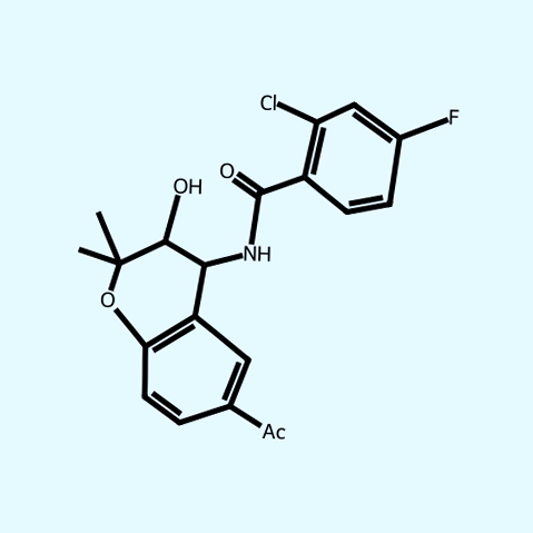 CC(=O)c1ccc2c(c1)C(NC(=O)c1ccc(F)cc1Cl)C(O)C(C)(C)O2